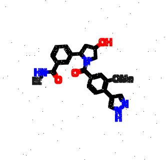 CCNC(=O)c1cccc(C2CC(O)CN2C(=O)c2ccc(-c3cn[nH]c3)c(OC)c2)c1